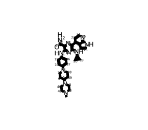 CN1CCN(C2CCN(c3ccc(Nc4nc(NC5CC5)c(-c5ccnc6[nH]ccc56)nc4C(N)=O)cc3)CC2)CC1